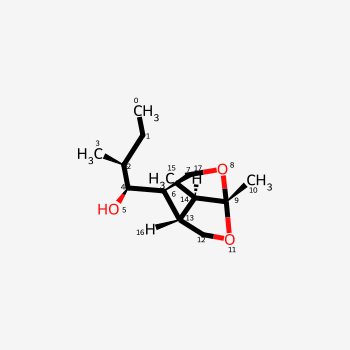 CC[C@H](C)[C@H](O)[C@H]1CO[C@]2(C)OC[C@H]1[C@H]2C